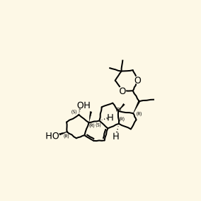 CC(C1OCC(C)(C)CO1)[C@H]1CC[C@H]2C3=CC=C4C[C@@H](O)C[C@H](O)[C@]4(C)[C@H]3CC[C@]12C